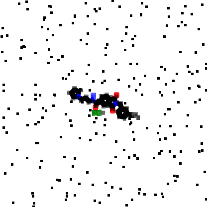 Cc1cccc(CN2C(=O)c3ccc(C(=O)NCCCN4CCCC4)cc3C2=O)c1.Cl